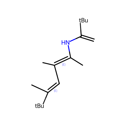 C=C(N/C(C)=C(C)/C=C(\C)C(C)(C)C)C(C)(C)C